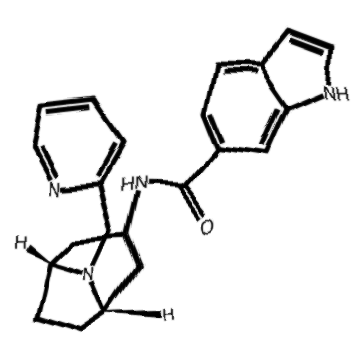 O=C(NC1C[C@H]2CC[C@@H](C1)N2Cc1ccccn1)c1ccc2cc[nH]c2c1